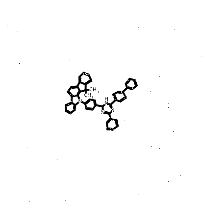 CC1(C)c2ccccc2-c2ccc3c4ccccc4n(-c4ccc(C5N=C(c6ccccc6)N=C(c6ccc(-c7ccccc7)cc6)N5)cc4)c3c21